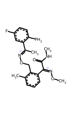 CNC(=O)/C(=N/OC)c1cccc(C)c1CO/N=C(\C)c1cc(F)ccc1P